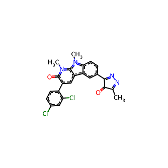 CC1=NN=C(c2ccc3c(c2)c2cc(-c4ccc(Cl)cc4Cl)c(=O)n(C)c2n3C)C1=O